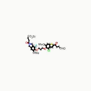 CCOC(=O)CCC(=O)N1Cc2cc(OC)c(OCCCOc3c(OC)cc4sc(C(=O)CCC=O)cc4c3Cl)c(F)c2C1